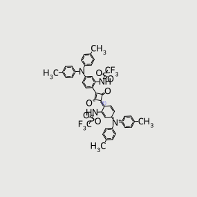 Cc1ccc(N(c2ccc(C)cc2)c2ccc(C3=C([O-])/C(=C4/C=CC(=[N+](c5ccc(C)cc5)c5ccc(C)cc5)C=C4NS(=O)(=O)C(F)(F)F)C3=O)c(NS(=O)(=O)C(F)(F)F)c2)cc1